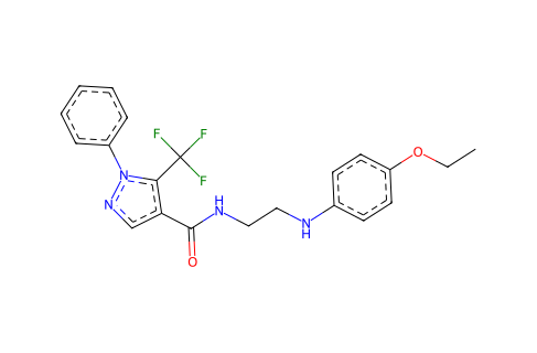 CCOc1ccc(NCCNC(=O)c2cnn(-c3ccccc3)c2C(F)(F)F)cc1